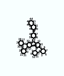 c1ccc(-c2ccccc2-c2ccc3c(c2)c2cc(-c4ccccc4-c4ccccc4)ccc2n3-c2ccc(-c3ccc4ccccc4c3)cc2)cc1